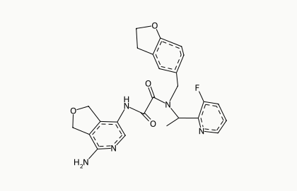 CC(c1ncccc1F)N(Cc1ccc2c(c1)CCO2)C(=O)C(=O)Nc1cnc(N)c2c1COC2